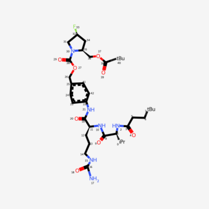 CC(C)[C@H](NC(=O)CCC(C)(C)C)C(=O)N[C@@H](CCCNC(N)=O)C(=O)Nc1ccc(COC(=O)N2C[C@@H](F)C[C@H]2COC(=O)C(C)(C)C)cc1